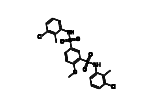 COc1ccc(S(=O)(=O)Nc2cccc(Cl)c2C)cc1S(=O)(=O)Nc1cccc(Cl)c1C